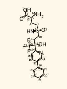 N=S(=O)(CC[C@H](N)C(=O)O)CCC(O)(c1ccc(-c2ccccc2)cn1)C(F)(F)F